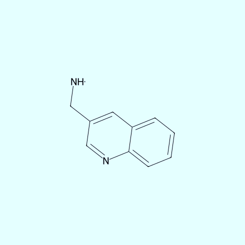 [NH]Cc1cnc2ccccc2c1